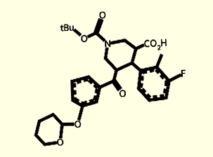 Cc1c(F)cccc1C1C(C(=O)O)CN(C(=O)OC(C)(C)C)CC1C(=O)c1cccc(OC2CCCCO2)c1